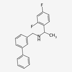 CC(NCc1cccc(-c2ccccc2)c1)c1ccc(F)cc1F